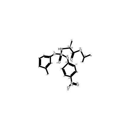 Cc1cccc(OP(=O)(N[C@@H](C)C(=O)OC(C)C)Oc2ccc([N+](=O)[O-])cc2)c1